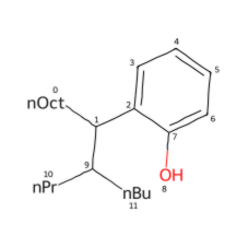 CCCCCCCCC(c1ccccc1O)C(CCC)CCCC